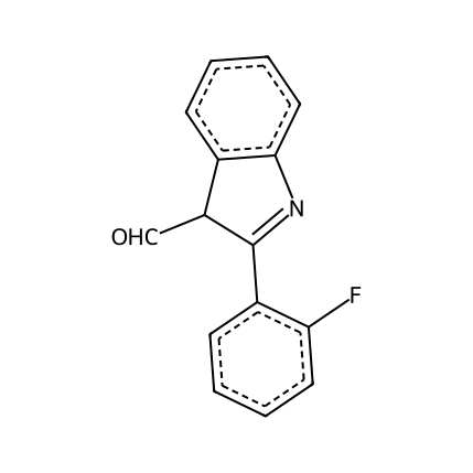 O=CC1C(c2ccccc2F)=Nc2ccccc21